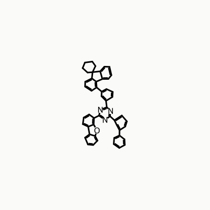 c1ccc(-c2cccc(-c3nc(-c4cccc(-c5cccc6c5-c5ccccc5C65CCCCC5)c4)nc(-c4cccc5c4oc4ccccc45)n3)c2)cc1